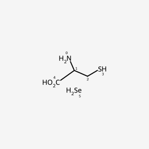 NC(CS)C(=O)O.[SeH2]